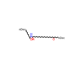 CCCCCCCCCCCCCCCC[C@H](CO)NC(=O)CCCCCCCCCCCCCCCC(=O)CCCCCCCCCCCCC